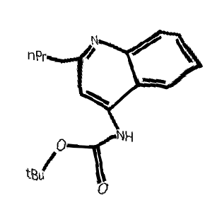 CCCc1cc(NC(=O)OC(C)(C)C)c2ccccc2n1